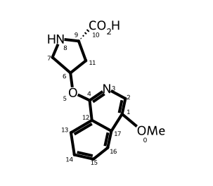 COc1cnc(OC2CN[C@H](C(=O)O)C2)c2ccccc12